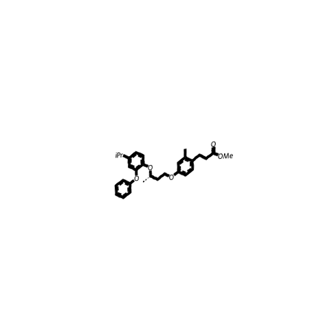 COC(=O)CCc1ccc(OCC[C@H](C)Oc2ccc(C(C)C)cc2Oc2ccccc2)cc1C